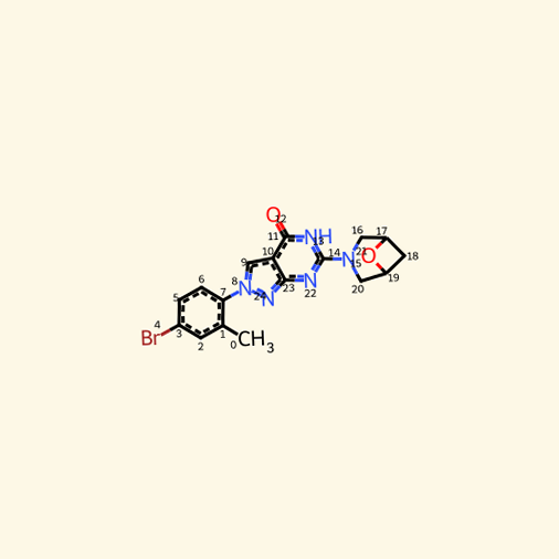 Cc1cc(Br)ccc1-n1cc2c(=O)[nH]c(N3CC4CC(C3)O4)nc2n1